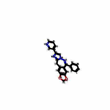 c1ccc(C2=Nn3cc(-c4cccnc4)nc3Cc3cc4c(cc32)OCO4)cc1